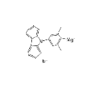 Cc1cc(-n2c3ccccc3c3ccccc32)cc(C)[c]1[Mg+].[Br-]